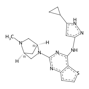 CN1C[C@@H]2C[C@H]1CN2c1nc(Nc2cc(C3CC3)[nH]n2)c2sccc2n1